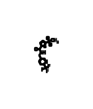 CS(=O)(=O)c1ccc(C(=O)NCc2ccc(C(F)(F)F)nc2)s1